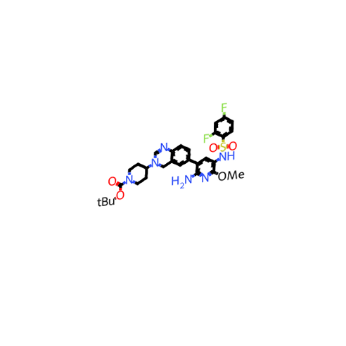 COc1nc(N)c(-c2ccc3c(c2)CN(C2CCN(C(=O)OC(C)(C)C)CC2)C=N3)cc1NS(=O)(=O)c1ccc(F)cc1F